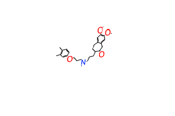 COc1cc2c(cc1OC)CC(=O)C(CCCN(C)CCCOc1ccc(C)c(C)c1)CC2